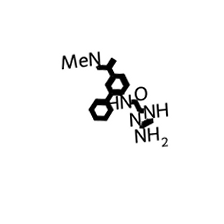 C=C(CNC)c1ccc(NC(=O)c2nc(N)c[nH]2)c(C2=CCCCC2)c1